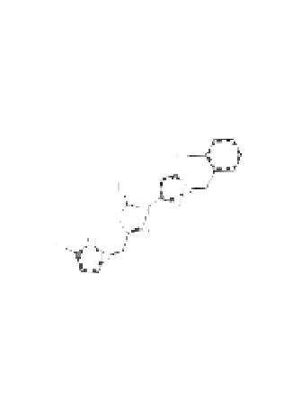 NC1SC(Cn2ccc(C(F)(F)F)n2)=NN1c1ccn(Cc2ccccc2Cl)n1